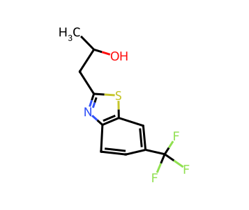 CC(O)Cc1nc2ccc(C(F)(F)F)cc2s1